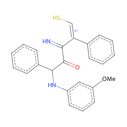 COc1cccc(NC(C(=O)C(=N)/C(=C\S)c2ccccc2)c2ccccc2)c1